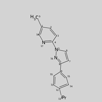 Cc1ccc(-n2ccc(-c3ccc(C(C)C)cc3)n2)nc1